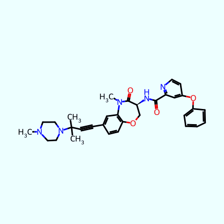 CN1CCN(C(C)(C)C#Cc2ccc3c(c2)N(C)C(=O)[C@@H](NC(=O)c2cc(Oc4ccccc4)ccn2)CO3)CC1